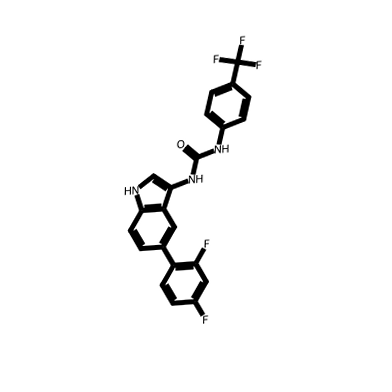 O=C(Nc1ccc(C(F)(F)F)cc1)Nc1c[nH]c2ccc(-c3ccc(F)cc3F)cc12